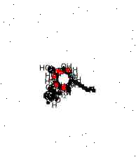 CC[C@H](C)C[C@H](C)CCCCCCCCC(=O)N[C@H]1C[C@@H](O)[C@@H](OCCN)NC(=O)[C@@H]2[C@@H](O)CCN2C(=O)[C@H]([C@H](O)CCNC(=O)[C@H](Cc2ccccc2)NC(=O)[C@H](CC(C)C)NC(=O)[C@H](CCSC)NC=O)NC(=O)[C@H]([C@H](O)[C@@H](O)c2ccc(O)cc2)NC(=O)[C@@H]2C[C@@H](O)CN2C(=O)[C@H]([C@@H](C)O)NC1=O